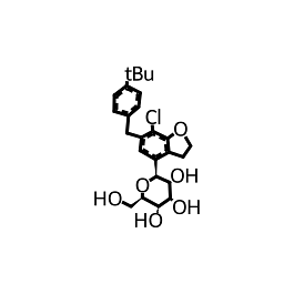 CC(C)(C)c1ccc(Cc2cc([C@@H]3O[C@H](CO)[C@@H](O)[C@H](O)[C@H]3O)c3c(c2Cl)OCC3)cc1